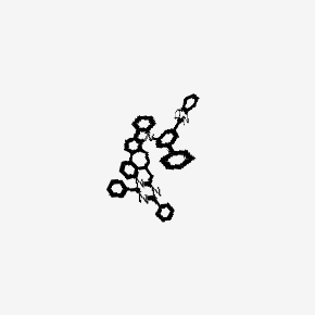 c1ccc(-c2cc(-c3nc4ccccc4o3)cc(-n3c4ccccc4c4ccc5c(c43)CCC(Cc3nc(-c4ccccc4)nc(-c4ccccc4)n3)c3ccccc3-5)c2)cc1